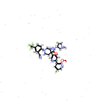 COc1ncc(F)cc1-c1ccc(C2(C(=O)N[C@H]3CCN(C)C3)CCN(c3ccc(C(F)(F)F)cc3C#N)CC2)cn1